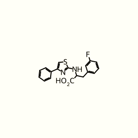 O=C(O)C(Cc1cccc(F)c1)Nc1nc(-c2ccccc2)cs1